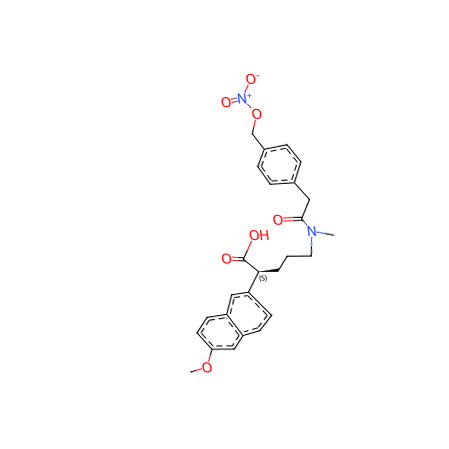 COc1ccc2cc([C@H](CCCN(C)C(=O)Cc3ccc(CO[N+](=O)[O-])cc3)C(=O)O)ccc2c1